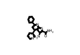 NC(=O)c1sc2nc(-c3ccccc3)cc(-c3cccnc3)c2c1N